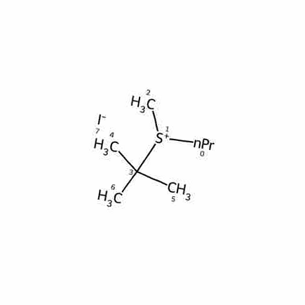 CCC[S+](C)C(C)(C)C.[I-]